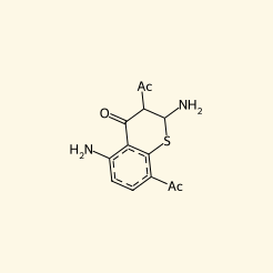 CC(=O)c1ccc(N)c2c1SC(N)C(C(C)=O)C2=O